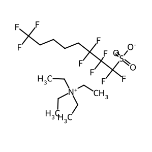 CC[N+](CC)(CC)CC.O=S(=O)([O-])C(F)(F)C(F)(F)C(F)(F)CCCCC(F)(F)F